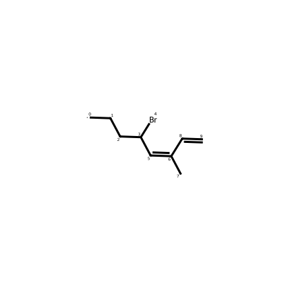 [CH2]CCC(Br)C=C(C)C=C